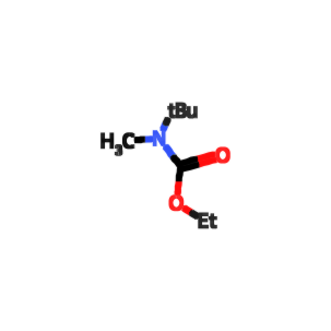 CCOC(=O)N(C)C(C)(C)C